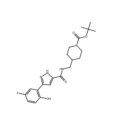 CC(C)(C)OC(=O)N1CCC(CNC(=O)c2cc(-c3cc(F)ccc3O)n[nH]2)CC1